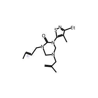 C=C(C)CN1CN(C/C=C/C)C(=O)N(c2snc(CC)c2C)C1